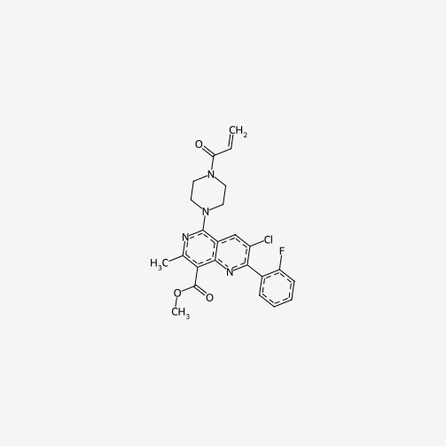 C=CC(=O)N1CCN(c2nc(C)c(C(=O)OC)c3nc(-c4ccccc4F)c(Cl)cc23)CC1